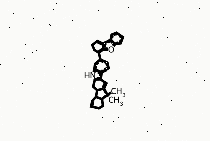 CC1(C)C2=Cc3c([nH]c4cc(C5=c6oc7ccccc7c6=CCC5)ccc34)CC2C2C=CCCC21